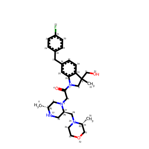 C[C@@H]1CN(CC(=O)N2CC(C)(CO)c3ccc(Cc4ccc(F)cc4)cc32)[C@@H](CN2CCOC[C@H]2C)CN1